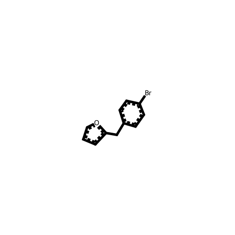 Brc1ccc(Cc2ccco2)cc1